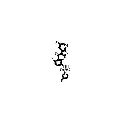 O=C(c1c(F)ccc(NS(=O)(=O)N2CCC(F)C2)c1F)c1c[nH]c2ncc(Br)cc12